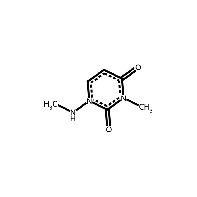 CNn1ccc(=O)n(C)c1=O